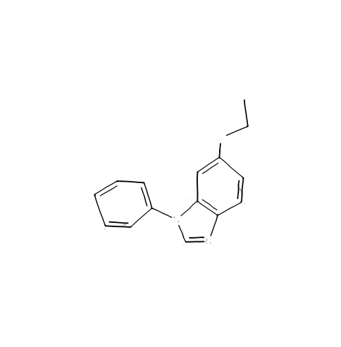 CCOc1ccc2ncn(-c3ccccc3)c2c1